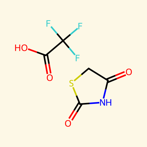 O=C(O)C(F)(F)F.O=C1CSC(=O)N1